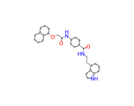 O=C(COc1cccc2ccccc12)Nc1ccc(C(=O)NCCc2cccc3[nH]ccc23)cc1